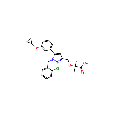 COC(=O)C(C)(C)OCc1cc(-c2cccc(OC3CC3)c2)n(Cc2ccccc2Cl)n1